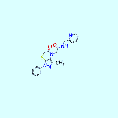 Cc1nn(-c2ccccc2)c2c1N(CC(=O)NCc1ccccn1)C(=O)CS2